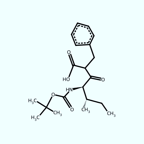 CC[C@H](C)[C@@H](NC(=O)OC(C)(C)C)C(=O)C(Cc1ccccc1)C(=O)O